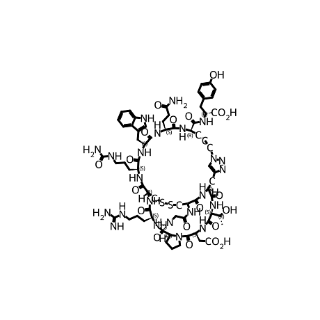 C[C@@H](O)[C@@H]1NC(=O)[C@@H]2Cc3cn(nn3)CCC[C@H](C(=O)N[C@H](Cc3ccc(O)cc3)C(=O)O)NC(=O)[C@H](CCC(N)=O)NC(=O)[C@H](Cc3c[nH]c4ccccc34)NC(=O)[C@H](CCCNC(N)=O)NC(=O)[C@H](CSSCC(NC(=O)CN)C(=O)N2)NC(=O)[C@H](CCCNC(=N)N)NC(=O)[C@@H]2CCCN2C(=O)[C@H](CC(=O)O)NC1=O